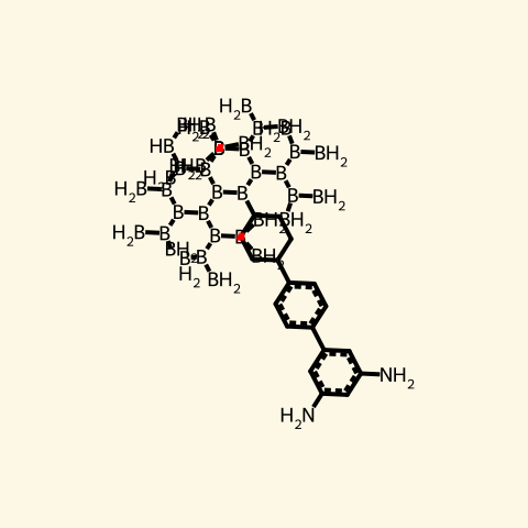 BBB(B)B(B(B)B)B(B(B(B(B)B)B(B)B)B(B(B)B)B(B)B)B(B(B(B(B)B)B(B)B)B(B(B)B)B(B)B)C1CCC(c2ccc(-c3cc(N)cc(N)c3)cc2)CC1